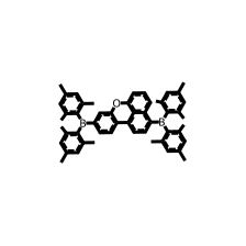 Cc1cc(C)c(B(c2ccc3c(c2)Oc2cccc4c(B(c5c(C)cc(C)cc5C)c5c(C)cc(C)cc5C)ccc-3c24)c2c(C)cc(C)cc2C)c(C)c1